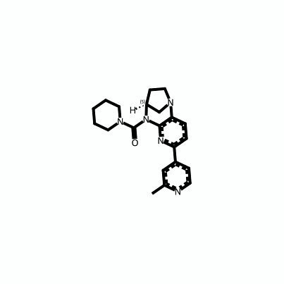 Cc1cc(-c2ccc3c(n2)N(C(=O)N2CCCCC2)[C@H]2CCN3C2)ccn1